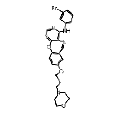 Brc1cccc(Nc2ncnc3c2N=Cc2cc(OCCCN4CCOCC4)ccc2O3)c1